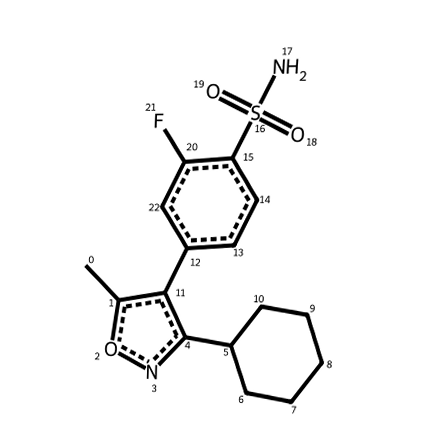 Cc1onc(C2CCCCC2)c1-c1ccc(S(N)(=O)=O)c(F)c1